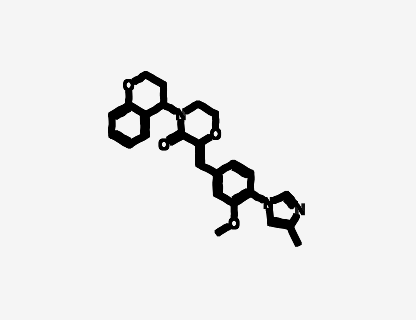 COc1cc(/C=C2\OCCN(C3CCOc4ccccc43)C2=O)ccc1-n1cnc(C)c1